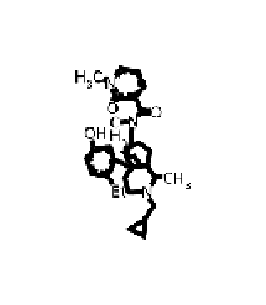 CCc1ccc(O)cc1C12CCN(CC3CC3)C(C)C13CCC(N(C)C(=O)c1cccn(C)c1=O)C2CC3